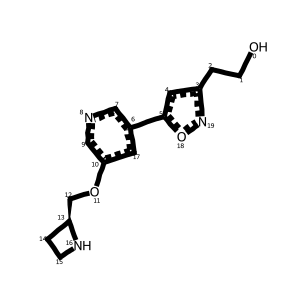 OCCc1cc(-c2cncc(OC[C@@H]3CCN3)c2)on1